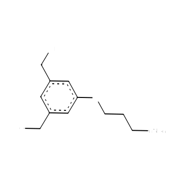 CCCCCCCCCCCCOc1cc(CO)cc(CO)c1